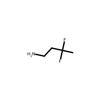 CC(F)(F)CCN